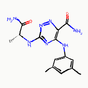 CC[C@@H](Nc1nnc(C(N)=O)c(Nc2cc(C)cc(C)c2)n1)C(N)=O